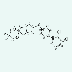 CC1(C)COC2(CC3CC(CN4CCN(c5cccc(Cl)c5Cl)CC4)CC3C2)OC1